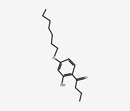 CCCCCCCOc1ccc(C(=O)CCC)c(O)c1